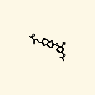 CC(=O)NCCc1ccc2nc(Oc3ccc(OC(C)C)cc3Br)ccc2c1